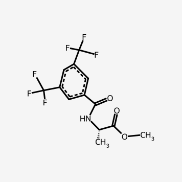 COC(=O)[C@H](C)NC(=O)c1cc(C(F)(F)F)cc(C(F)(F)F)c1